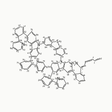 C=C/C=C\C=C(/N)c1ccccc1-c1ccc2c(c1)c1cc(-c3ccccc3-c3ccccn3)ccc1n2-c1ccc2sc3ccc(-n4c5ccc(-c6ccccc6-c6ccccn6)cc5c5cc(-c6ccccc6-c6ccccn6)ccc54)cc3c2c1